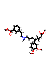 COC(=O)CC(C)(C)C(CCCN(C)CCc1cccc(C(=O)OC)c1)c1ccc(OC)c(OC)c1